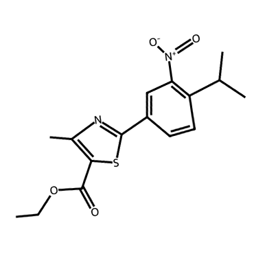 CCOC(=O)c1sc(-c2ccc(C(C)C)c([N+](=O)[O-])c2)nc1C